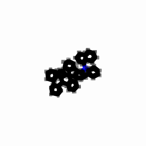 c1ccc(-c2ccccc2C2c3ccccc3C3(c4ccccc4-c4c3ccc3c5ccccc5n(-c5cccc6ccccc56)c43)c3ccccc32)cc1